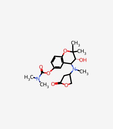 CN(C)C(=O)Oc1ccc2c(c1)[C@H](N(C)C1COC(=O)C1)[C@@H](O)C(C)(C)O2